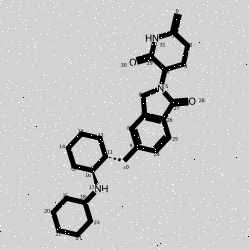 C=C1CCC(N2Cc3cc(C[C@H]4CCCC[C@@H]4NC4CCCCC4)ccc3C2=O)C(=O)N1